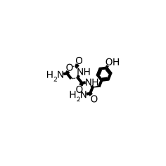 NC(=O)C[C@H](N[C]=O)C(=O)N[C@@H](Cc1ccc(O)cc1)C(N)=O